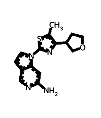 Cc1sc(-n2ccc3cnc(N)cc32)nc1C1CCOC1